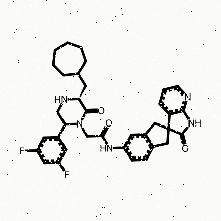 O=C(CN1C(=O)[C@H](CC2CCCCCC2)NCC1c1cc(F)cc(F)c1)Nc1ccc2c(c1)CC1(C2)C(=O)Nc2ncccc21